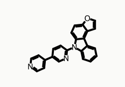 c1ccc2c(c1)c1c3ccoc3ccc1n2-c1ccc(-c2ccncc2)cn1